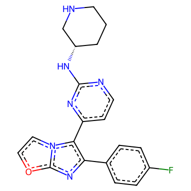 Fc1ccc(-c2nc3occn3c2-c2ccnc(N[C@H]3CCCNC3)n2)cc1